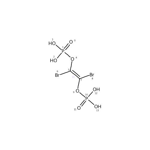 O=P(O)(O)O/C(Br)=C(\Br)OP(=O)(O)O